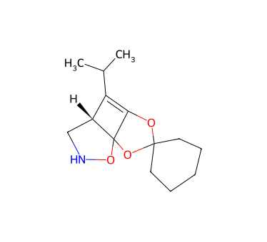 CC(C)C1=C2OC3(CCCCC3)OC23ONC[C@H]13